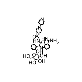 N=C(N)c1cccc(NC(C(=O)NCC(=O)N2CCN(c3ccncc3)CC2)c2ccccc2OC2OC(CO)C(O)C(O)C2O)c1